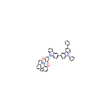 c1ccc(-c2ccc3c(c2)c2cc(-c4ccc5c(c4)c4ccccc4n5-c4cc5c6c(c4)Oc4ccc7ccccc7c4N6c4c(ccc6ccccc46)O5)ccc2n3-c2ccccc2)cc1